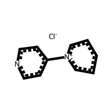 [Cl-].c1cc[n+](-c2ccncc2)cc1